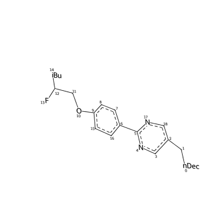 CCCCCCCCCCCc1cnc(-c2ccc(OCC(F)C(C)CC)cc2)nc1